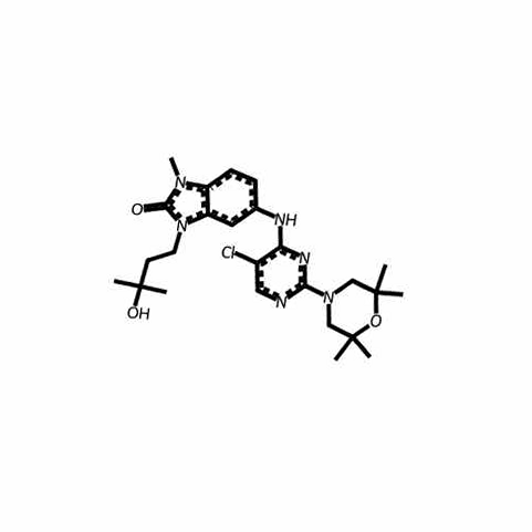 Cn1c(=O)n(CCC(C)(C)O)c2cc(Nc3nc(N4CC(C)(C)OC(C)(C)C4)ncc3Cl)ccc21